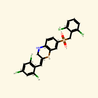 O=S(=O)(Cc1c(Br)cccc1Br)c1ccc2c(c1)SC(=Cc1c(F)cc(F)cc1F)CN2